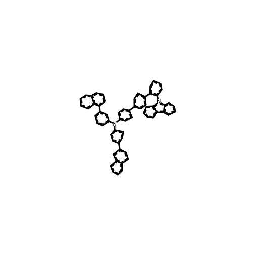 c1cc(-c2cccc3ccccc23)cc(N(c2ccc(-c3ccc(-c4ccccc4-n4c5ccccc5c5ccccc54)cc3)cc2)c2ccc(-c3ccc4ccccc4c3)cc2)c1